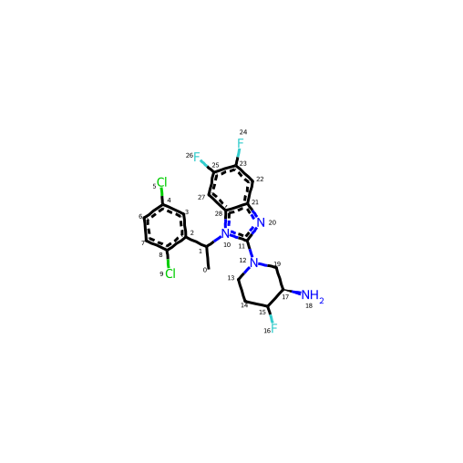 CC(c1cc(Cl)ccc1Cl)n1c(N2CCC(F)[C@H](N)C2)nc2cc(F)c(F)cc21